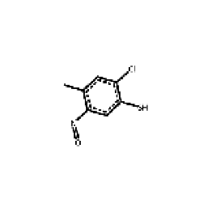 Cc1cc(Cl)c(S)cc1N=O